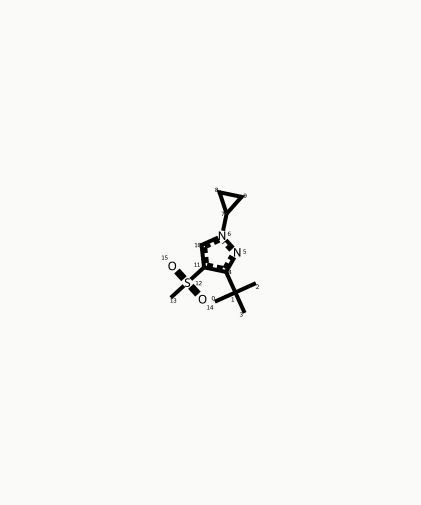 CC(C)(C)c1nn(C2CC2)cc1S(C)(=O)=O